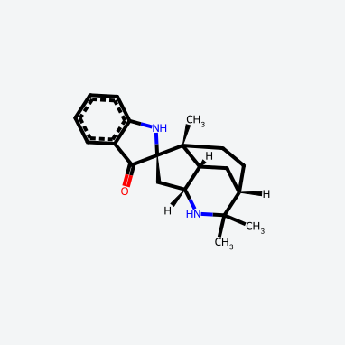 CC1(C)N[C@@H]2C[C@@]3(Nc4ccccc4C3=O)[C@]3(C)CC[C@H]1C[C@H]23